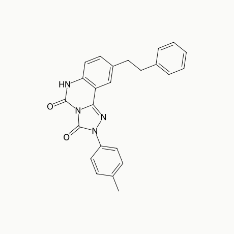 Cc1ccc(-n2nc3c4cc(CCc5ccccc5)ccc4[nH]c(=O)n3c2=O)cc1